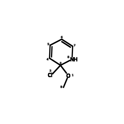 COC1(Cl)C=CC=CN1